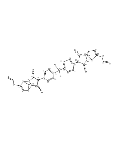 C=CCC1=CC2CC1C1C(=O)N(c3ccc(C(C)(C)c4ccc(N5C(=O)C6C7C=C(CC=C)C(C7)C6C5=O)cc4)cc3)C(=O)C21